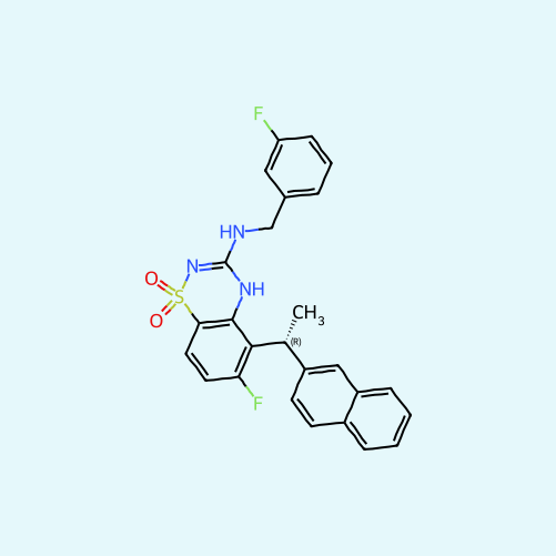 C[C@H](c1ccc2ccccc2c1)c1c(F)ccc2c1NC(NCc1cccc(F)c1)=NS2(=O)=O